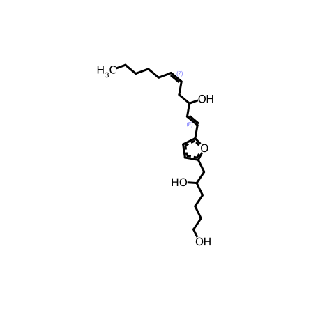 CCCCC/C=C\CC(O)/C=C/c1ccc(CC(O)CCCCO)o1